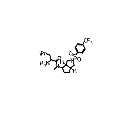 CC(C)C[C@H](N)C(=O)N(C)[C@@H]1CC[C@H]2CN(S(=O)(=O)c3ccc(C(F)(F)F)cc3)C[C@H]21